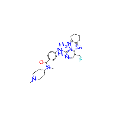 CN1CCC(N(C)C(=O)c2ccc(Nc3ncc(CF)c(N[C@@H]4CCCC[C@@H]4N)n3)cc2)CC1